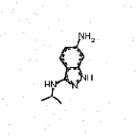 CC(C)Nc1n[nH]c2cc(N)ccc12